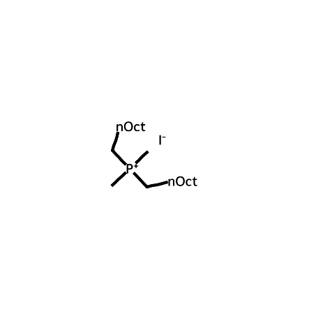 CCCCCCCCC[P+](C)(C)CCCCCCCCC.[I-]